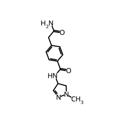 CN1CC(NC(=O)c2ccc(CC(N)=O)cc2)C=N1